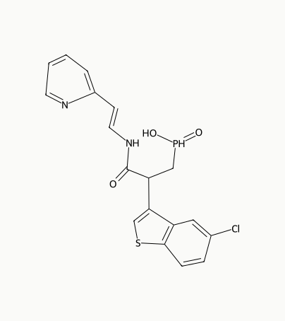 O=C(N/C=C/c1ccccn1)C(C[PH](=O)O)c1csc2ccc(Cl)cc12